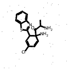 CC(N)C(=O)C1(N)C=CC(Cl)=CC1c1nc2ccccc2s1